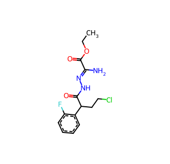 CCOC(=O)/C(N)=N/NC(=O)C(CCCl)c1ccccc1F